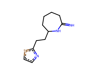 N=C1CCCCC(CCc2nccs2)N1